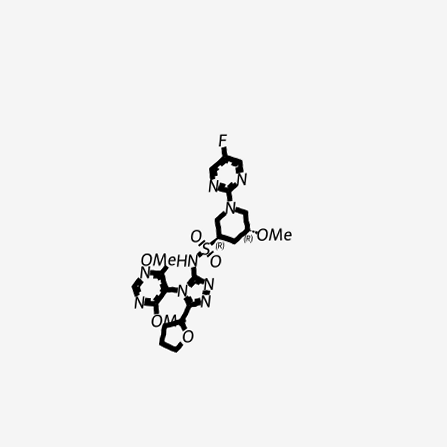 COc1ncnc(OC)c1-n1c(NS(=O)(=O)[C@@H]2C[C@@H](OC)CN(c3ncc(F)cn3)C2)nnc1C1CCCO1